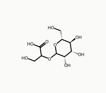 O=C(O)C(CO)OC1O[C@H](CO)[C@@H](O)[C@H](O)[C@@H]1O